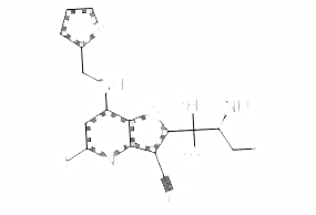 [2H]C([2H])(c1oc2c(NCc3cccs3)cc(Cl)nc2c1C#C)[C@@H](N)CF